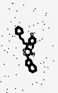 O=C(N[C@@H](Cc1ccc(Cl)cc1)C(=O)NCCCc1ccccc1)c1ccc2ccccc2c1